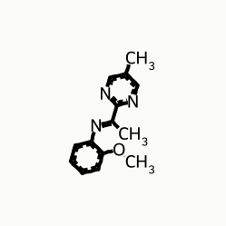 COc1ccccc1N=C(C)c1ncc(C)cn1